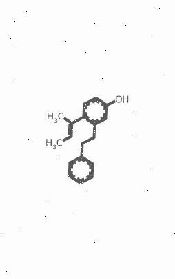 CC=C(C)c1ccc(O)cc1CCc1ccccc1